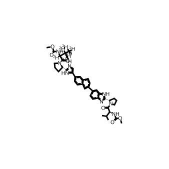 [2H]C([2H])([2H])C([2H])(C([2H])([2H])[2H])[C@@]([2H])(NC(=O)OC)C(=O)N1CCC[C@H]1c1ncc(-c2ccc3cc(-c4ccc5nc([C@@H]6CCCN6C(=O)[C@@H](NC(=O)OC)C(C)C)[nH]c5c4)ccc3c2)[nH]1